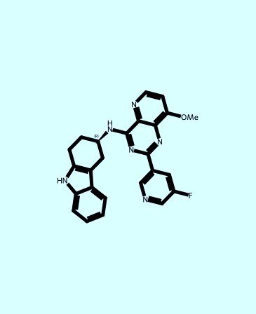 COc1ccnc2c(N[C@@H]3CCc4[nH]c5ccccc5c4C3)nc(-c3cncc(F)c3)nc12